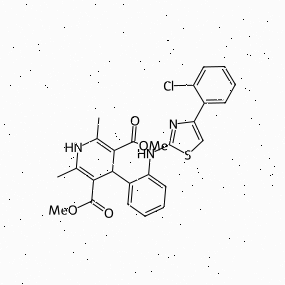 COC(=O)C1=C(C)NC(C)=C(C(=O)OC)C1c1ccccc1Nc1nc(-c2ccccc2Cl)cs1